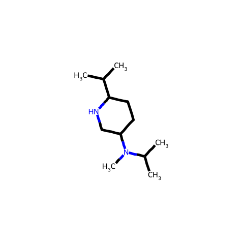 CC(C)C1CCC(N(C)C(C)C)CN1